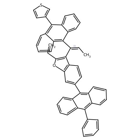 C=Cc1oc2cc(-c3c4ccccc4c(-c4ccccc4)c4ccccc34)ccc2c1/C(=C\C)c1c2ccccc2c(-c2ccsc2)c2ccccc12